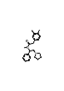 Cc1ccc(CC(=O)N(C)C(CN2CCCC2)c2ccccc2)cc1C